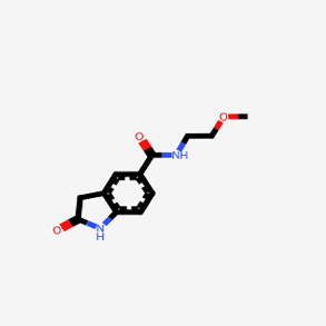 COCCNC(=O)c1ccc2c(c1)CC(=O)N2